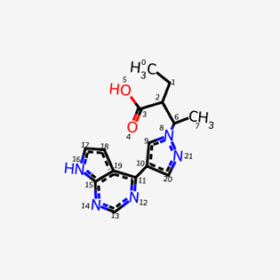 CCC(C(=O)O)C(C)n1cc(-c2ncnc3[nH]ccc23)cn1